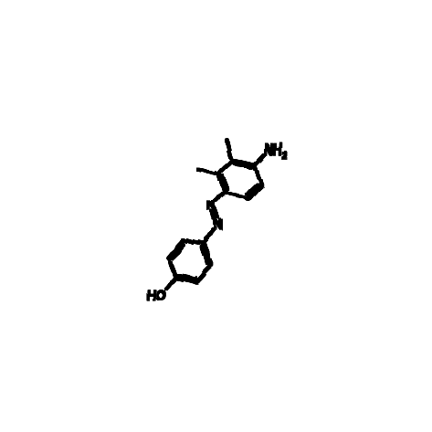 Cc1c(N)ccc(N=Nc2ccc(O)cc2)c1C